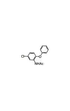 CC(=O)Nc1cc(Cl)ccc1Oc1ccccc1